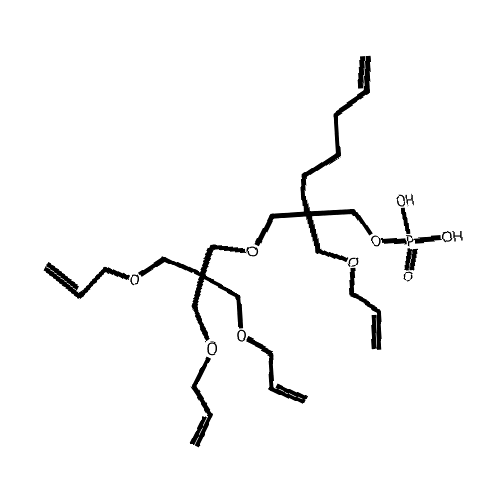 C=CCCCC(COCC=C)(COCC(COCC=C)(COCC=C)COCC=C)COP(=O)(O)O